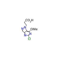 COc1nc(Cl)nc2cnn(CCC(=O)O)c12